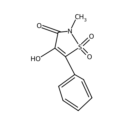 CN1C(=O)C(O)=C(c2ccccc2)S1(=O)=O